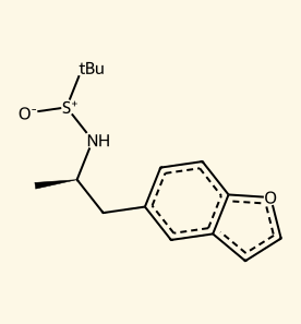 C[C@H](Cc1ccc2occc2c1)N[S+]([O-])C(C)(C)C